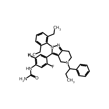 CCc1cccc(CC)c1-n1nc2c(c1-c1cc(F)c(NC(N)=O)cc1F)CN(C(CC)c1ccccc1)CC2